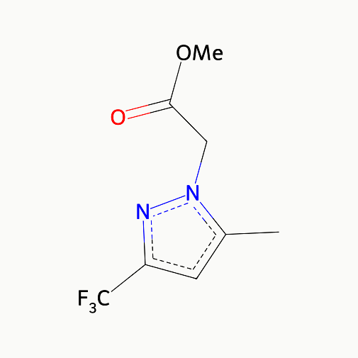 COC(=O)Cn1nc(C(F)(F)F)cc1C